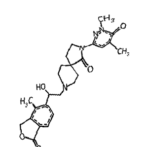 Cc1c(C(O)CN2CCC3(CC2)CCN(c2cc(C)c(=O)n(C)n2)C3=O)ccc2c1COC2=O